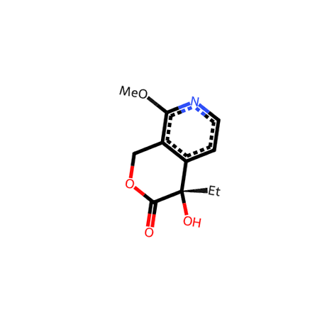 CC[C@@]1(O)C(=O)OCc2c1ccnc2OC